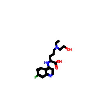 CCN(CCO)CCCC(Nc1ccnc2cc(F)ccc12)C(=O)O